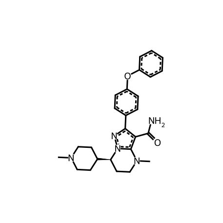 CN1CCC([C@@H]2CCN(C)c3c(C(N)=O)c(-c4ccc(Oc5ccccc5)cc4)nn32)CC1